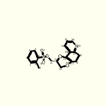 Cc1ccccc1S(=O)(=O)OC[C@H]1COc2ccc3ncccc3c2O1